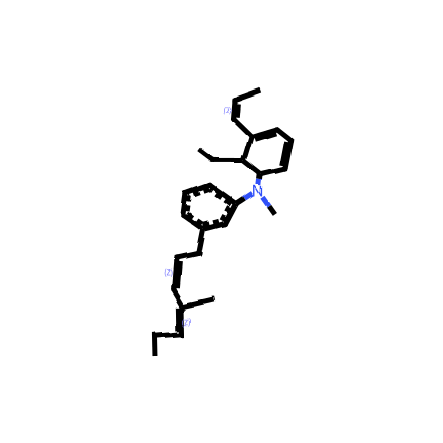 C/C=C\C1=CC=CC(N(C)c2cccc(C/C=C\C(C)=C/CC)c2)C1CC